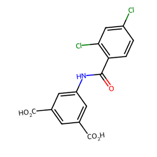 O=C(O)c1cc(NC(=O)c2ccc(Cl)cc2Cl)cc(C(=O)O)c1